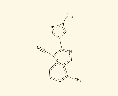 Cc1cccc2c(C#N)c(-c3cnn(C)c3)ncc12